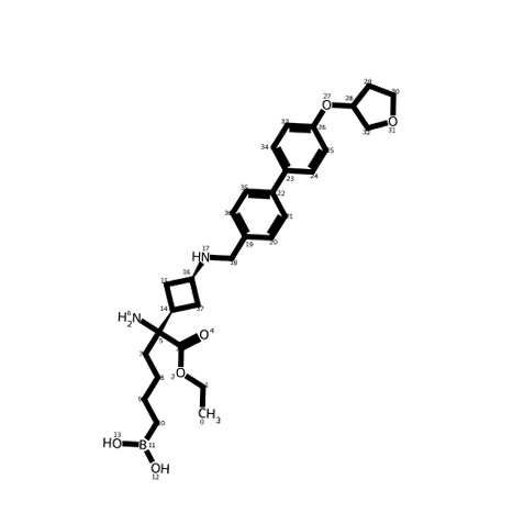 CCOC(=O)C(N)(CCCCB(O)O)[C@H]1C[C@@H](NCc2ccc(-c3ccc(OC4CCOC4)cc3)cc2)C1